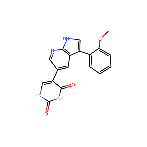 COc1ccccc1-c1c[nH]c2ncc(-c3c[nH]c(=O)[nH]c3=O)cc12